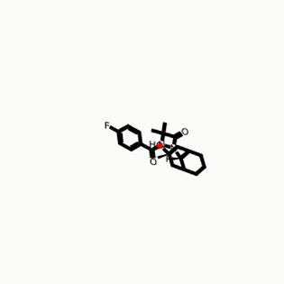 CC1(C)C(=O)N([C@H]2C3CCCC2C[C@@](C)(O)C3)N1C(=O)c1ccc(F)cc1